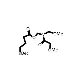 CCCCCCCCCCCCCC(=O)OCN(COC)C(=O)COC